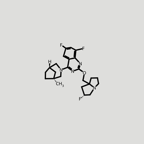 C[C@@]12CC[C@H](CN(c3nc(OCC45CCCN4C[C@H](F)C5)nc4c(F)cc(F)cc34)C1)C2